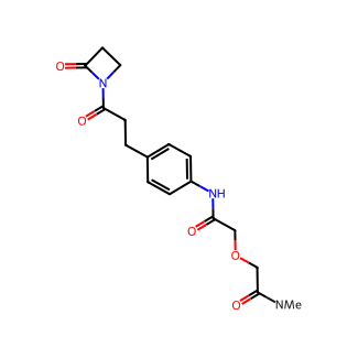 CNC(=O)COCC(=O)Nc1ccc(CCC(=O)N2CCC2=O)cc1